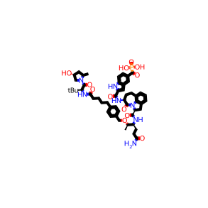 CC1C[C@@H](O)CN1C(=O)[C@@H](NC(=O)CCCCc1ccc(CO[C@H](C)[C@H](CCC(N)=O)NC(=O)[C@@H]2Cc3cccc4c3N2C(=O)[C@@H](NC(=O)c2cc3cc(C(=O)P(=O)(O)O)ccc3[nH]2)CC4)cc1)C(C)(C)C